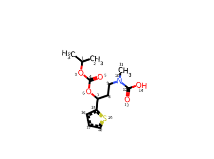 CC(C)OC(=O)OC(CCN(C)C(=O)O)c1cccs1